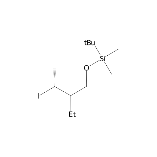 CCC(CO[Si](C)(C)C(C)(C)C)[C@@H](C)I